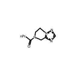 CCCC(=O)N1CCn2ncnc2C1